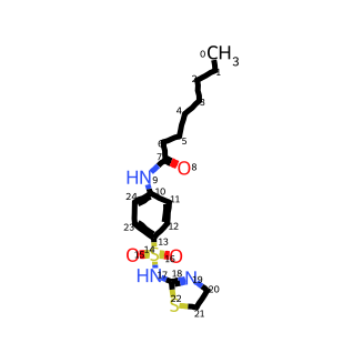 CCCCCCCC(=O)Nc1ccc(S(=O)(=O)NC2=NCCS2)cc1